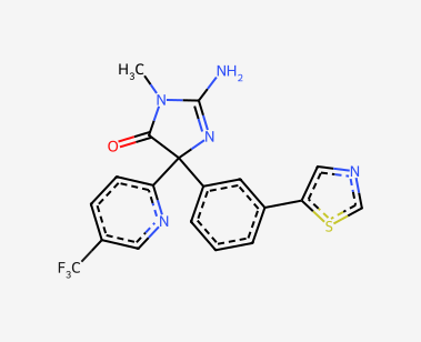 CN1C(=O)C(c2cccc(-c3cncs3)c2)(c2ccc(C(F)(F)F)cn2)N=C1N